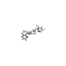 Cc1cnc(CNCCCNC2CCCc3cccnc32)c(C)c1